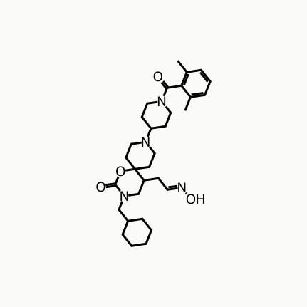 Cc1cccc(C)c1C(=O)N1CCC(N2CCC3(CC2)OC(=O)N(CC2CCCCC2)CC3CC=NO)CC1